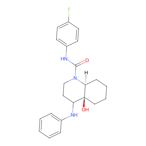 O=C(Nc1ccc(F)cc1)N1CCC(Nc2ccccc2)[C@@]2(O)CCCC[C@H]12